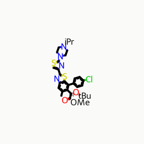 COC(=O)[C@@H](OC(C)(C)C)c1c(C)cc2nc(-c3csc(N4CCN(C(C)C)CC4)n3)sc2c1-c1ccc(Cl)cc1